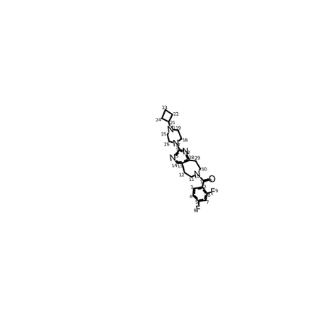 O=C(c1ccc(F)cc1F)N1CCc2cnc(N3CCN(C4CCC4)CC3)nc2CC1